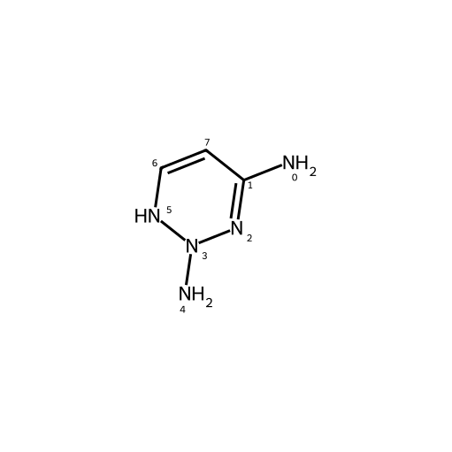 NC1=NN(N)NC=C1